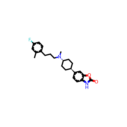 Cc1cc(F)ccc1CCCN(C)[C@H]1CC[C@H](c2ccc3[nH]c(=O)oc3c2)CC1